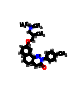 Cc1ccc(N2N=C3c4cc(OCC(C)CN(C)C)ccc4CCC3CC2=O)cc1